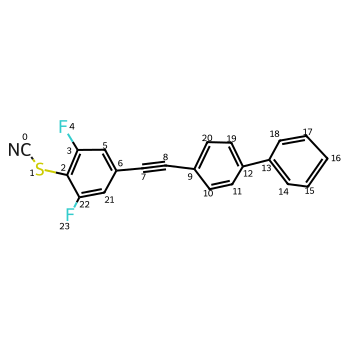 N#CSc1c(F)cc(C#Cc2ccc(-c3ccccc3)cc2)cc1F